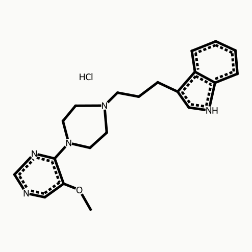 COc1cncnc1N1CCN(CCCc2c[nH]c3ccccc23)CC1.Cl